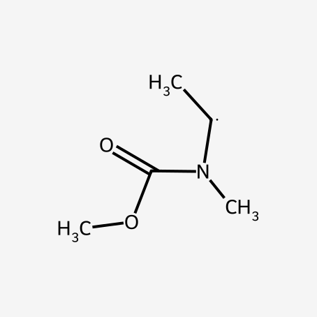 C[CH]N(C)C(=O)OC